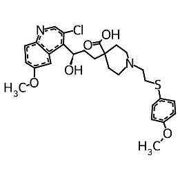 COc1ccc(SCCN2CCC(CC[C@@H](O)c3c(Cl)cnc4ccc(OC)cc34)(C(=O)O)CC2)cc1